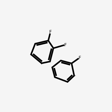 Fc1[c]cccc1.Fc1c[c]ccc1F